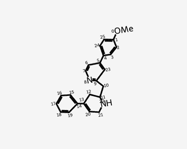 COc1ccc(-c2ccnc(CC3CC(c4ccccc4)=CCN3)c2)cc1